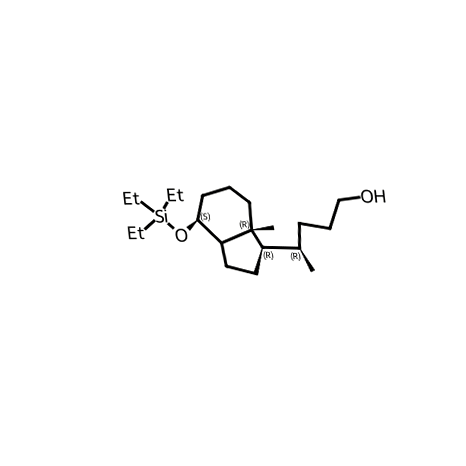 CC[Si](CC)(CC)O[C@H]1CCC[C@@]2(C)C1CC[C@@H]2[C@H](C)CCCO